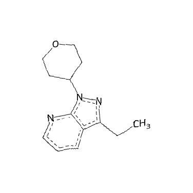 CCc1nn(C2CCOCC2)c2ncccc12